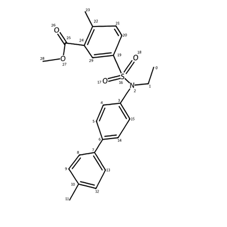 CCN(c1ccc(-c2ccc(C)cc2)cc1)S(=O)(=O)c1ccc(C)c(C(=O)OC)c1